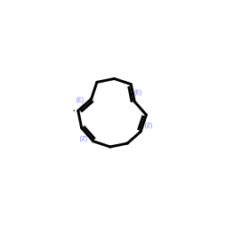 [C]1=C/CC/C=C/C=C\CC\C=C/1